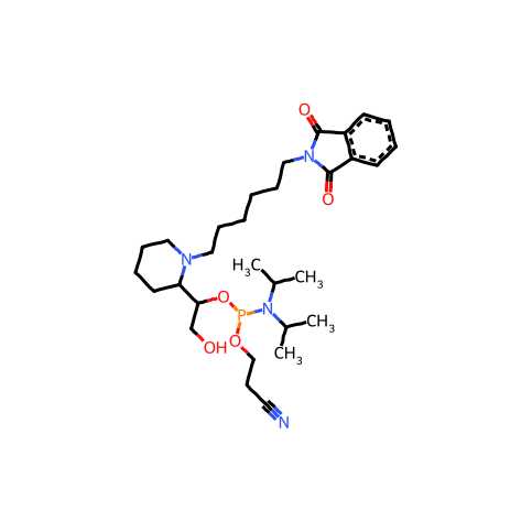 CC(C)N(C(C)C)P(OCCC#N)OC(CO)C1CCCCN1CCCCCCN1C(=O)c2ccccc2C1=O